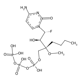 CCCC[C@](COP(=O)(O)OP(=O)(O)OP(=O)(O)O)(OC)[C@@H](O)[C@@H](F)n1ccc(N)nc1=O